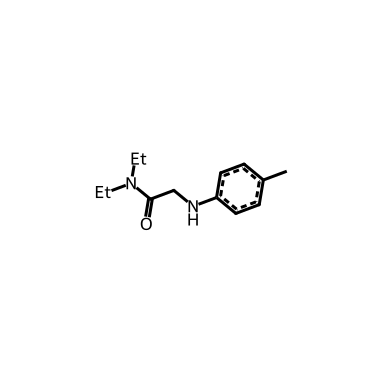 CCN(CC)C(=O)CNc1ccc(C)cc1